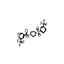 O=C(N[C@H]1CC[C@@H](S(=O)(=O)c2cccc(C(F)(F)F)c2)CC1)c1cncc(C(F)(F)F)c1